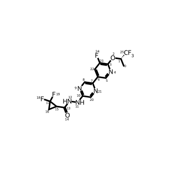 C[C@H](Oc1ncc(-c2cnc(NNC(=O)C3CC3(F)F)cn2)cc1F)C(F)(F)F